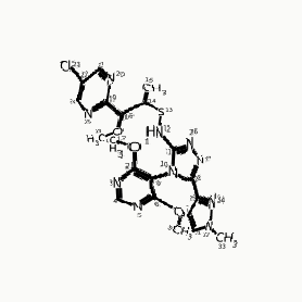 COc1ncnc(OC)c1-n1c(NSC(C)C(OC)c2ncc(Cl)cn2)nnc1-c1ccn(C)n1